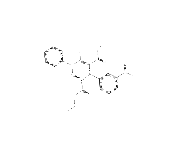 CCOC(=O)C1=NN(c2ccccc2)C(C)=C(C(=O)OC)C1c1cccc([N+](=O)[O-])c1